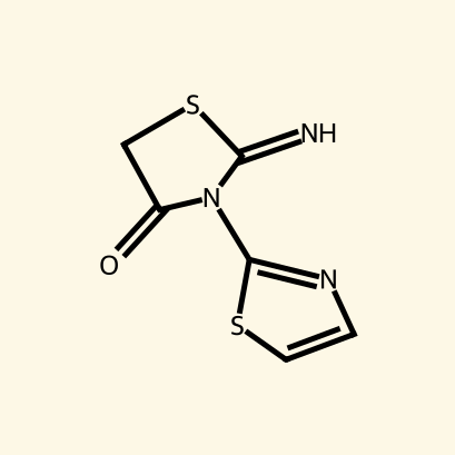 N=C1SCC(=O)N1c1nccs1